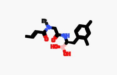 CC=CC(=O)N(CC)CC(=O)N[C@@H](Cc1ccc(C)cc1C)B(O)O